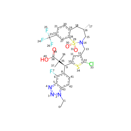 CCn1nnc2c(F)c([C@H](c3cc(CN4C[C@@H](C)Cc5ccc(C(F)(F)F)cc5S4(=O)=O)c(Cl)s3)C(C)(C)C(=O)O)ccc21